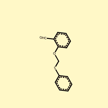 O=Cc1ccccc1OCSc1ccccc1